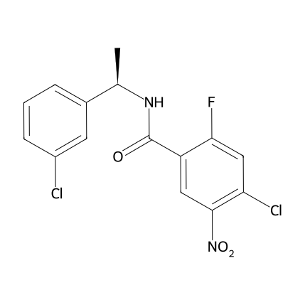 C[C@@H](NC(=O)c1cc([N+](=O)[O-])c(Cl)cc1F)c1cccc(Cl)c1